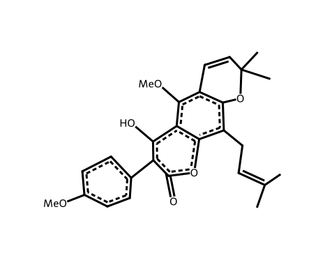 COc1ccc(-c2c(O)c3c(OC)c4c(c(CC=C(C)C)c3oc2=O)OC(C)(C)C=C4)cc1